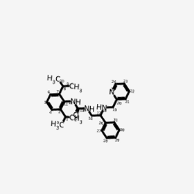 CC(C)c1cccc(C(C)C)c1NC(=O)NCC(NCc1ccccn1)c1ccccc1